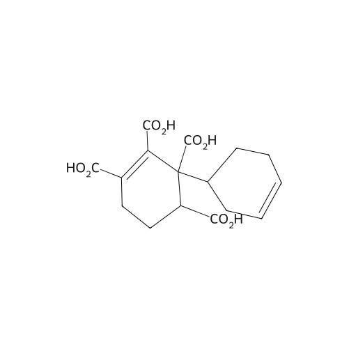 O=C(O)C1=C(C(=O)O)C(C(=O)O)(C2CC=CCC2)C(C(=O)O)CC1